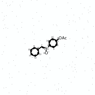 CC(=O)Oc1ccc([N+]([O-])=Cc2ccccc2)cc1